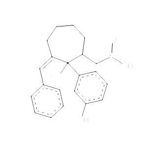 CN(C)CC1CCCC/C(=C/c2ccccc2)C1(O)c1cccc(O)c1